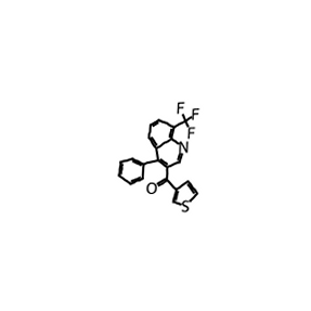 O=C(c1ccsc1)c1cnc2c(C(F)(F)F)cccc2c1-c1ccccc1